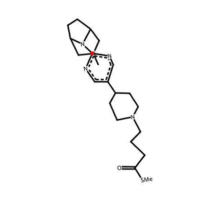 CSC(=O)CCCN1CCC(c2cnc(N3C4CCC3CN(C)C4)nc2)CC1